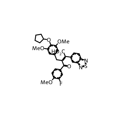 COc1ccc(C(=O)C(Cc2cc(OC)c(OC3CCCC3)c(OC)c2)=C(C(=O)O)c2ccc3nsnc3c2)cc1F